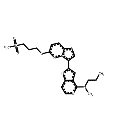 CCCN(C)c1nccc2oc(-c3cnc4ccc(OCCCS(C)(=O)=O)nn34)cc12